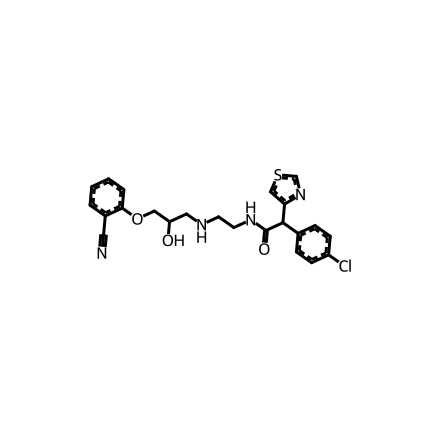 N#Cc1ccccc1OCC(O)CNCCNC(=O)C(c1ccc(Cl)cc1)c1cscn1